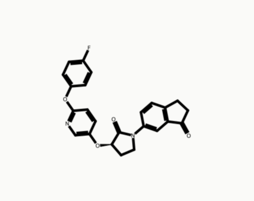 O=C1CCc2ccc(N3CC[C@@H](Oc4ccc(Oc5ccc(F)cc5)nc4)C3=O)cc21